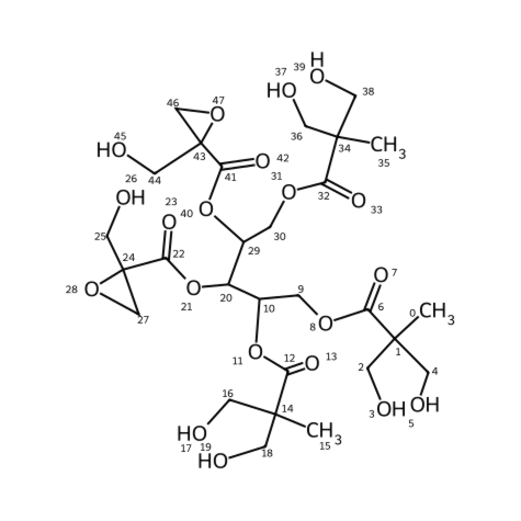 CC(CO)(CO)C(=O)OCC(OC(=O)C(C)(CO)CO)C(OC(=O)C1(CO)CO1)C(COC(=O)C(C)(CO)CO)OC(=O)C1(CO)CO1